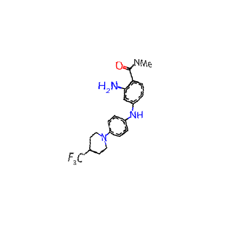 CNC(=O)c1ccc(Nc2ccc(N3CCC(C(F)(F)F)CC3)cc2)cc1N